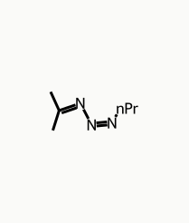 CCC/N=N\N=C(C)C